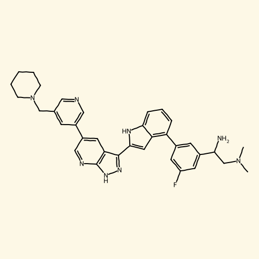 CN(C)CC(N)c1cc(F)cc(-c2cccc3[nH]c(-c4n[nH]c5ncc(-c6cncc(CN7CCCCC7)c6)cc45)cc23)c1